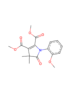 COC(=O)C1=C(C(=O)OC)C(C)(C)C(=O)N1c1ccccc1OC